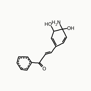 NC1(O)C=CC(C=CC(=O)c2ccccc2)=CC1O